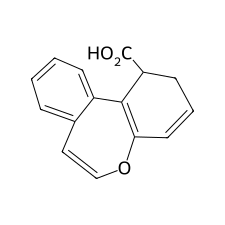 O=C(O)C1CC=CC2=C1c1ccccc1C=CO2